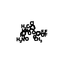 COc1cc(OC(F)(F)F)ccc1Oc1ccc(Cl)c(C)c1C(=O)Nc1ccnc(C(N)=O)c1